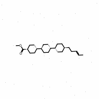 CC=CCC[C@H]1CC[C@H]([C@H]2CC[C@H]([C@H]3CC[C@H](C(=O)OC)CC3)CC2)CC1